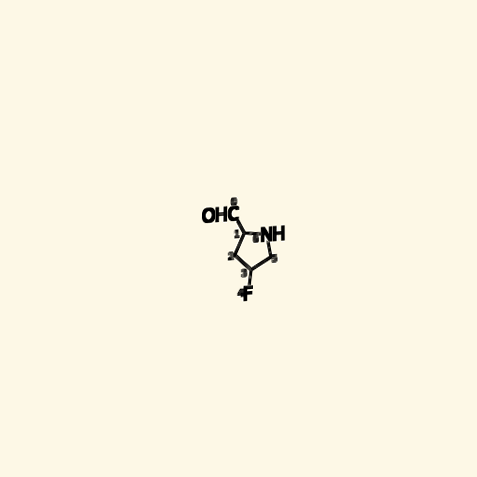 O=CC1CC(F)CN1